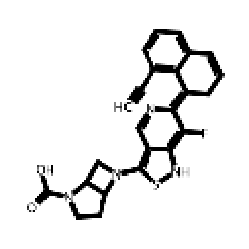 C#Cc1cccc2c1C(=c1ncc3c(c1F)NSC=3N1CC3C1CCN3C(=O)O)CC=C2